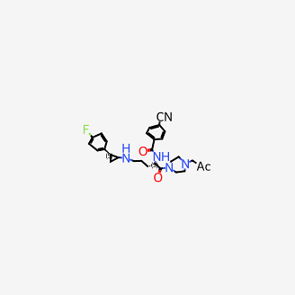 CC(=O)CN1CCN(C(=O)[C@H](CCCNC2C[C@H]2c2ccc(F)cc2)NC(=O)c2ccc(C#N)cc2)CC1